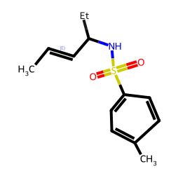 C/C=C/C(CC)NS(=O)(=O)c1ccc(C)cc1